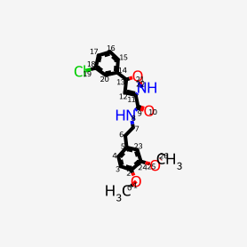 COc1ccc(CCNC(=O)C2=CC(c3cccc(Cl)c3)ON2)cc1OC